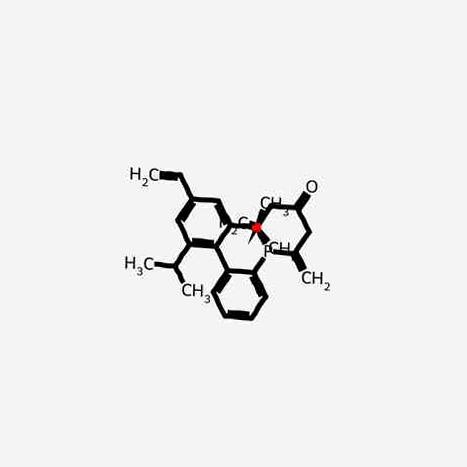 C=Cc1cc(C(C)C)c(-c2ccccc2P2C(=C)CC(=O)CC2=C)c(C(C)C)c1